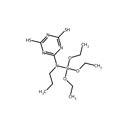 CCCN(c1nc(S)nc(S)n1)[Si](OCC)(OCC)OCC